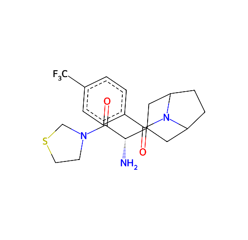 N[C@H](C(=O)N1CCSC1)C1CC2CCC(C1)N2C(=O)c1ccc(C(F)(F)F)cc1